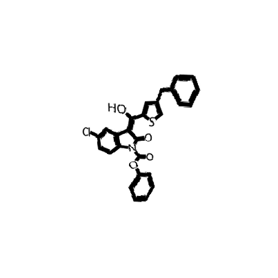 O=C(Oc1ccccc1)N1C(=O)/C(=C(/O)c2cc(Cc3ccccc3)cs2)c2cc(Cl)ccc21